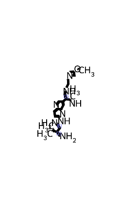 COC1CN(CCCN/C=C(\C(C)=N)c2cnc3ccc(N/C(N)=C/C(=C\N)C(C)C)nc3c2)C1